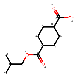 CC(C)COC(=O)C1CCC(C(=O)O)CC1